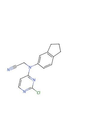 N#CCN(c1ccc2c(c1)CCC2)c1ccnc(Cl)n1